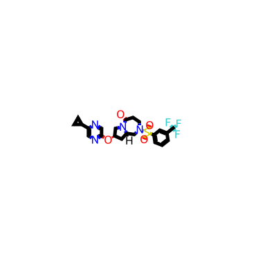 O=C1CCN(S(=O)(=O)c2cccc(C(F)(F)F)c2)C[C@@H]2C[C@@H](Oc3cnc(C4CC4)cn3)CN12